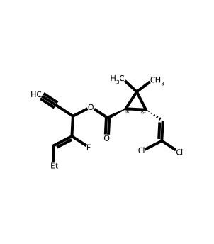 C#CC(OC(=O)[C@@H]1[C@@H](C=C(Cl)Cl)C1(C)C)C(F)=CCC